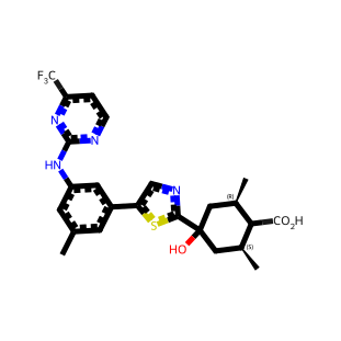 Cc1cc(Nc2nccc(C(F)(F)F)n2)cc(-c2cnc(C3(O)C[C@@H](C)C(C(=O)O)[C@@H](C)C3)s2)c1